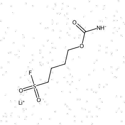 [Li+].[NH-]C(=O)OCCCCS(=O)(=O)F